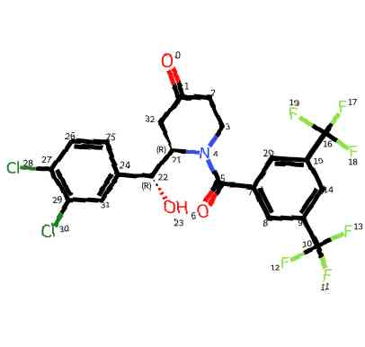 O=C1CCN(C(=O)c2cc(C(F)(F)F)cc(C(F)(F)F)c2)[C@@H]([C@H](O)c2ccc(Cl)c(Cl)c2)C1